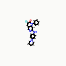 O=c1c(F)cc2cnc(Nc3ccc(N4CCCCC4)cc3)cc2n1C1CCCCC1